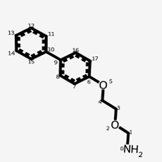 NCOCCOc1ccc(-c2ccccc2)cc1